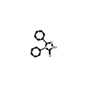 O=c1[nH]nc(-c2ccccc2)n1-c1ccccc1